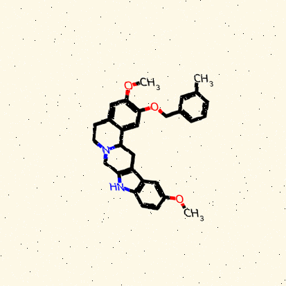 COc1ccc2[nH]c3c(c2c1)CC1c2cc(OCc4cccc(C)c4)c(OC)cc2CCN1C3